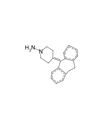 NN1CCC(=C2c3ccccc3CCc3ccccc32)CC1